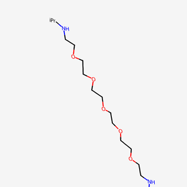 CC(C)NCCOCCOCCOCCOCCOCCNC(C)C